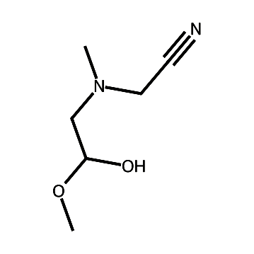 COC(O)CN(C)CC#N